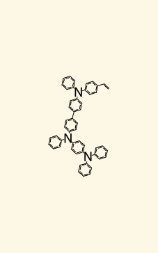 C=Cc1ccc(N(c2ccccc2)c2ccc(-c3ccc(N(c4ccccc4)c4ccc(N(c5ccccc5)c5ccccc5)cc4)cc3)cc2)cc1